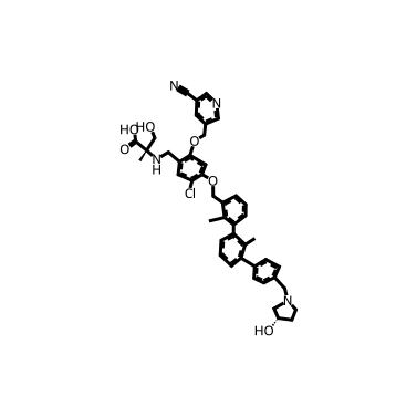 Cc1c(COc2cc(OCc3cncc(C#N)c3)c(CN[C@@](C)(CO)C(=O)O)cc2Cl)cccc1-c1cccc(-c2ccc(CN3CC[C@H](O)C3)cc2)c1C